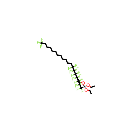 CCO[Si](OCC)(OCC)C(F)(F)C(F)(F)C(F)(F)C(F)(F)C(F)(F)C(F)(F)C(F)(F)CCCCCCCCCCCC(F)(F)F